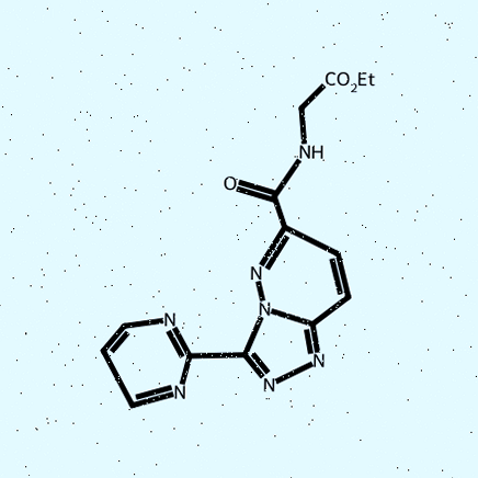 CCOC(=O)CNC(=O)c1ccc2nnc(-c3ncccn3)n2n1